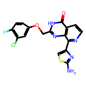 Nc1nc(-c2nccc3c(=O)[nH]c(COc4ccc(F)c(Cl)c4)nc23)cs1